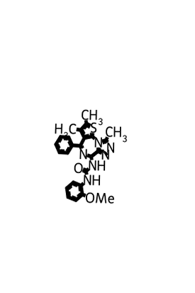 COc1ccccc1NC(=O)NC1N=C(c2ccccc2)c2c(sc(C)c2C)-n2c(C)nnc21